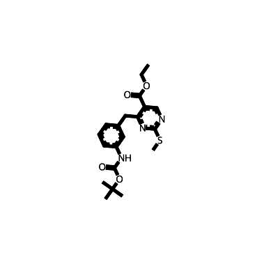 CCOC(=O)c1cnc(SC)nc1Cc1cccc(NC(=O)OC(C)(C)C)c1